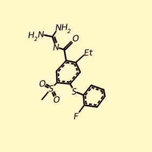 CCc1cc(Sc2ccccc2F)c(S(C)(=O)=O)cc1C(=O)N=C(N)N